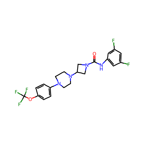 O=C(Nc1cc(F)cc(F)c1)N1CC(N2CCN(c3ccc(OC(F)(F)F)cc3)CC2)C1